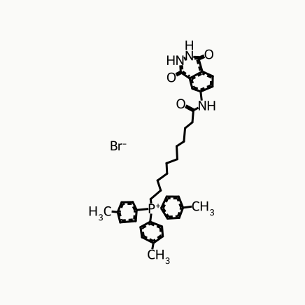 Cc1ccc([P+](CCCCCCCCCCC(=O)Nc2ccc3c(=O)[nH][nH]c(=O)c3c2)(c2ccc(C)cc2)c2ccc(C)cc2)cc1.[Br-]